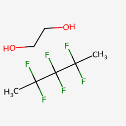 CC(F)(F)C(F)(F)C(C)(F)F.OCCO